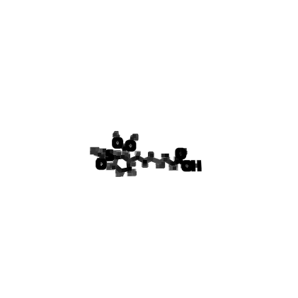 COC(OC)C1C(CC=CCCCC(=O)O)=CCCC1SC(C)=O